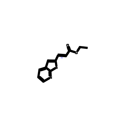 CCOC(=O)/C=C/c1cc2cccnc2s1